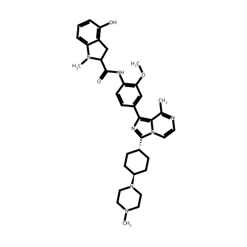 COc1cc(-c2nc([C@H]3CC[C@H](N4CCN(C)CC4)CC3)n3ccnc(C)c23)ccc1NC(=O)C1Cc2c(O)cccc2N1C